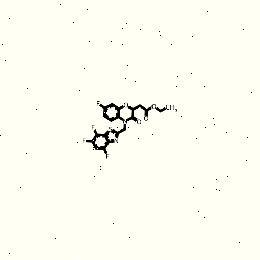 CCOC(=O)CC1Oc2cc(F)ccc2N(Cc2nc3c(F)cc(F)c(F)c3s2)C1=O